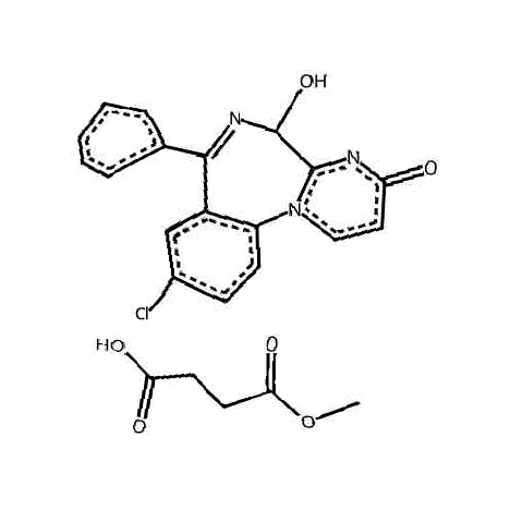 COC(=O)CCC(=O)O.O=c1ccn2c(n1)C(O)N=C(c1ccccc1)c1cc(Cl)ccc1-2